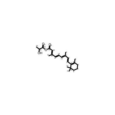 CC(C=CC1=C(C)CCCC1(C)C)=CC=CC(C)=CC(=O)OC(=O)C(C)O